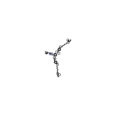 C=CC(=O)OCCCCCCOc1ccc(COOc2ccc(OC(=O)c3ccc(OCCCCCCOC(=O)C=C)cc3)cc2/C=N/N=C/c2ccsc2)cc1